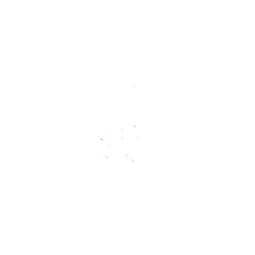 CC(C)(C)c1ccc(N2C(=O)[C@@H]3[C@@H]4CC[C@@H]([C@H]5C[C@H]54)[C@@H]3C2=O)cc1[N+](=O)[O-]